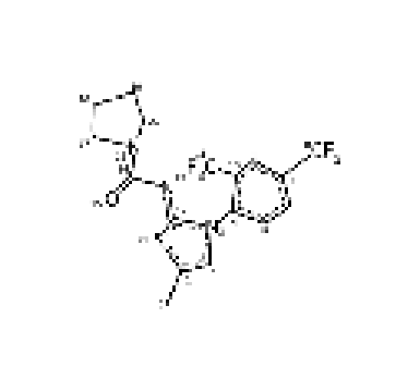 Cc1cn(-c2ccc(C(F)(F)F)cc2C(F)(F)F)c(=NC(=O)N2CCCC2)s1